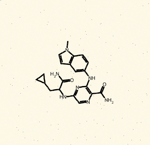 Cn1ccc2cc(Nc3nc(NC(CC4CC4)C(N)=O)cnc3C(N)=O)ccc21